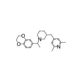 Cc1cc(CC2CCCN(C(C)c3ccc4c(c3)OCCO4)C2)cc(C)n1